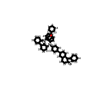 c1ccc(-c2ccc(N(c3ccc(-c4ccc5c(ccc6sc7ccccc7c65)c4)cc3)c3cccc4c5ccccc5n(-c5ccccc5)c34)cc2)cc1